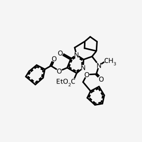 CCOC(=O)c1nc2n(c(=O)c1OC(=O)c1ccccc1)CC1CCC(C1)C2N(C)C(=O)OCc1ccccc1